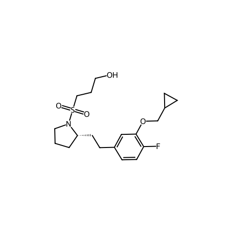 O=S(=O)(CCCO)N1CCC[C@H]1CCc1ccc(F)c(OCC2CC2)c1